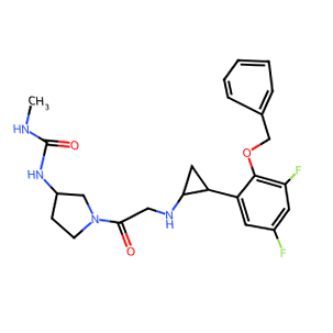 CNC(=O)NC1CCN(C(=O)CNC2CC2c2cc(F)cc(F)c2OCc2ccccc2)C1